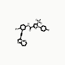 CC(C)c1ccc(NC(=O)c2cc(S(C)(=O)=O)n(-c3ccc(F)cc3)n2)cc1C#Cc1cnc2cccnn12